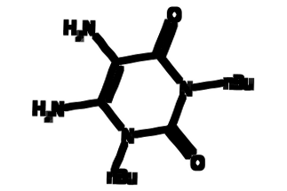 CCCCn1c(N)c(N)c(=O)n(CCCC)c1=O